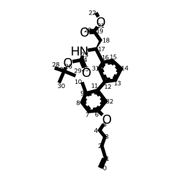 C=CCCCOc1ccc(C)c(-c2cccc([C@H](CC(=O)OC)NC(=O)OC(C)(C)C)c2)c1